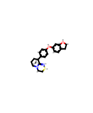 c1cc(C23CCC(CC2)N2CCSN=C23)ccc1Oc1ccc2c(c1)OCC2